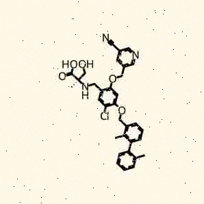 Cc1ccccc1-c1cccc(COc2cc(OCc3cncc(C#N)c3)c(CN[C@](C)(CO)C(=O)O)cc2Cl)c1C